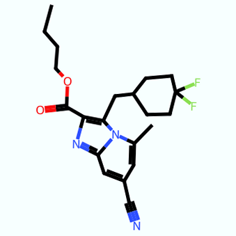 CCCCOC(=O)c1nc2cc(C#N)cc(C)n2c1CC1CCC(F)(F)CC1